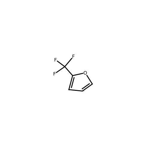 FC(F)(F)c1c[c]co1